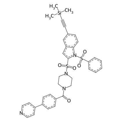 C[Si](C)(C)C#Cc1ccc2c(c1)cc(S(=O)(=O)N1CCN(C(=O)c3ccc(-c4ccncc4)cc3)CC1)n2S(=O)(=O)c1ccccc1